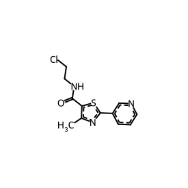 Cc1nc(-c2cccnc2)sc1C(=O)NCCCl